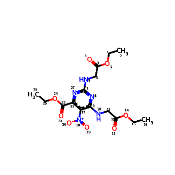 CCOC(=O)CNc1nc(NCC(=O)OCC)c([N+](=O)[O-])c(C(=O)OCC)n1